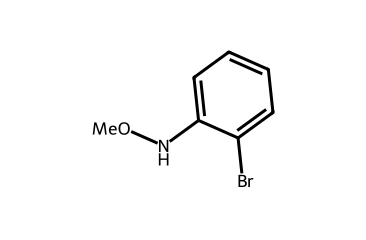 CONc1ccccc1Br